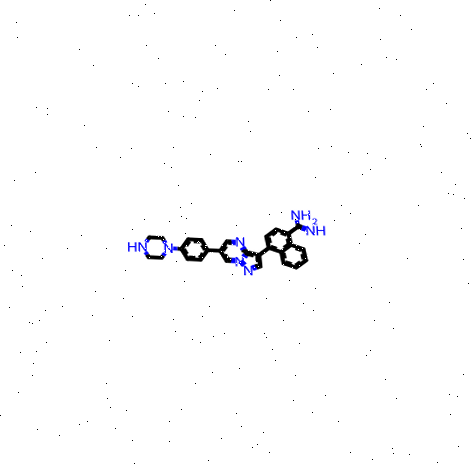 N=C(N)c1ccc(-c2cnn3cc(-c4ccc(N5CCNCC5)cc4)cnc23)c2ccccc12